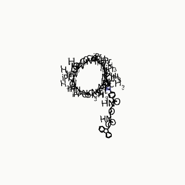 CC[C@@H]1NC(=O)[C@H]([C@H](O)C(C)C/C=C/c2ccc(C(=O)NCCOCCNC(=O)OCC3c4ccccc4-c4ccccc43)cc2)N(C)C(=O)[C@H](C(C)C)N(C)C(=O)[C@H](CC(C)C)N(C)C(=O)[C@H](CC(C)C)N(C)C(=O)[C@@H](C)NC(=O)[C@H](C)NC(=O)[C@H](CC(C)C)N(C)C(=O)[C@H](C(C)C)NC(=O)C(CC(C)C)N(C)C(=O)CN(C)C1=O